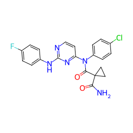 NC(=O)C1(C(=O)N(c2ccc(Cl)cc2)c2ccnc(Nc3ccc(F)cc3)n2)CC1